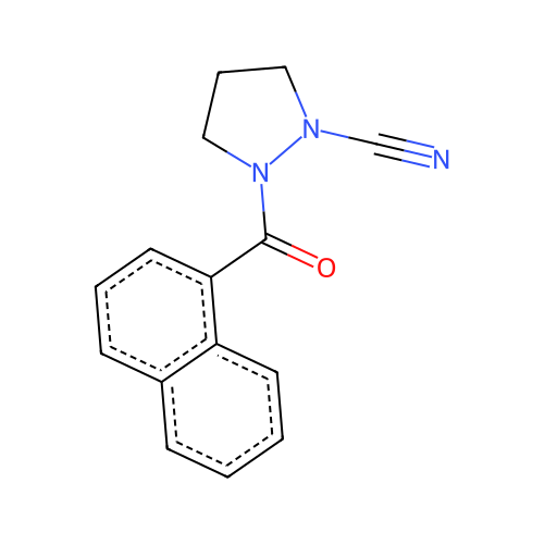 N#CN1CCCN1C(=O)c1cccc2ccccc12